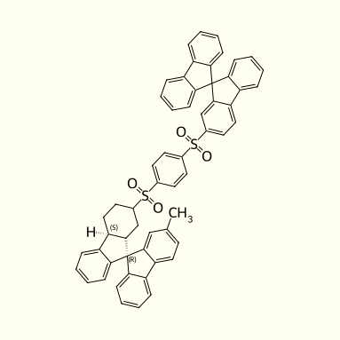 Cc1ccc2c(c1)[C@@]1(c3ccccc3-2)c2ccccc2[C@H]2CCC(S(=O)(=O)c3ccc(S(=O)(=O)c4ccc5c(c4)C4(c6ccccc6-c6ccccc64)c4ccccc4-5)cc3)CC21